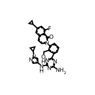 Nc1nc(Nc2cnn(C3CC3)c2)nc(-c2cccc(-n3ccc4cc(C5CC5)cc(F)c4c3=O)c2CO)n1